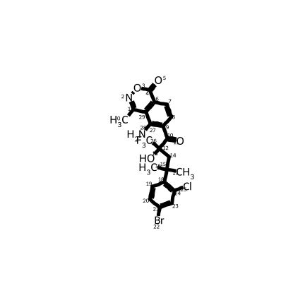 Cc1noc(=O)c2ccc(C(=O)C(O)(CC(C)(C)c3ccc(Br)cc3Cl)C(F)(F)F)c(N)c12